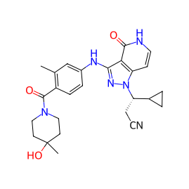 Cc1cc(Nc2nn([C@@H](CC#N)C3CC3)c3cc[nH]c(=O)c23)ccc1C(=O)N1CCC(C)(O)CC1